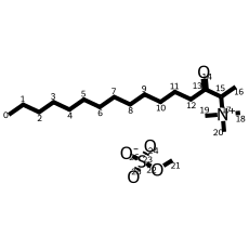 CCCCCCCCCCCCCC(=O)C(C)[N+](C)(C)C.COS(=O)(=O)[O-]